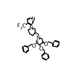 FC(F)(F)c1ccncc1N1CCC[C@H](CN2C[C@H](OCc3ccccc3)C(OCc3ccccc3)[C@H](OCc3ccccc3)C2)C1